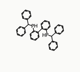 c1ccc(C(Pc2ccccc2-c2ccccc2PC(c2ccccc2)c2ccccc2)c2ccccc2)cc1